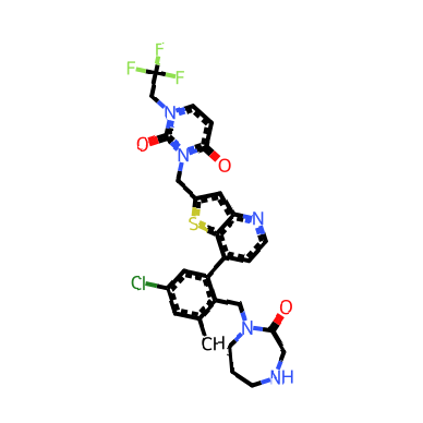 Cc1cc(Cl)cc(-c2ccnc3cc(Cn4c(=O)ccn(CC(F)(F)F)c4=O)sc23)c1CN1CCCNCC1=O